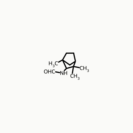 CC12CCC(C1)C(C)(C)C2NC=O